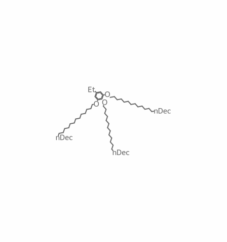 CCCCCCCCCCCCCCCCCCCCCCCOc1cc(CC)cc(OCCCCCCCCCCCCCCCCCCCCCCC)c1OCCCCCCCCCCCCCCCCCCCCCCC